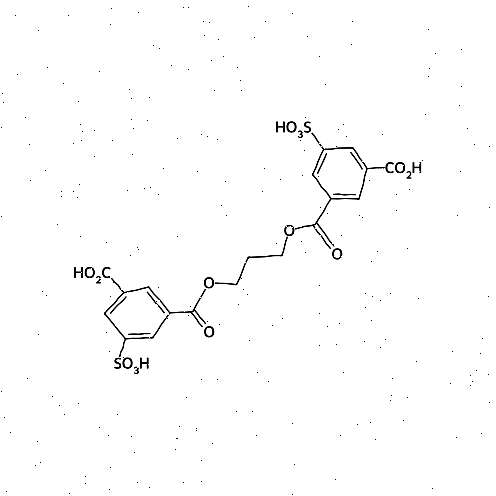 O=C(O)c1cc(C(=O)OCCCOC(=O)c2cc(C(=O)O)cc(S(=O)(=O)O)c2)cc(S(=O)(=O)O)c1